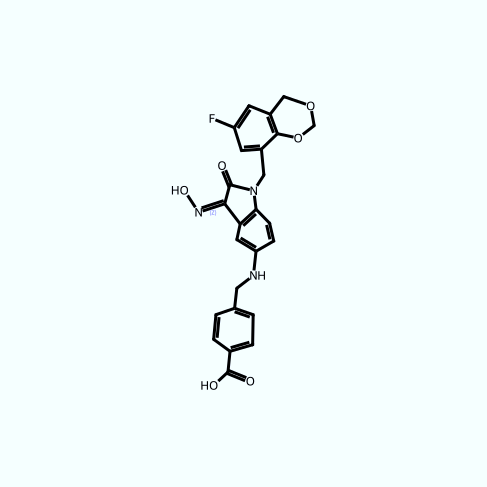 O=C(O)c1ccc(CNc2ccc3c(c2)/C(=N/O)C(=O)N3Cc2cc(F)cc3c2OCOC3)cc1